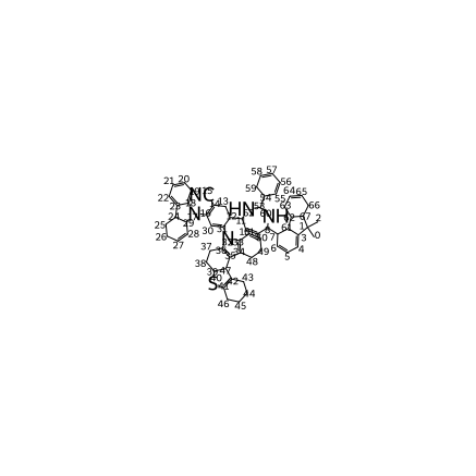 CC1(C)C2=CC=CC(C3C=CC(C4CC(C#N)=C(N5c6ccccc6C6CCC=CC65)C=C4n4c5c(c6c4CCC4SC7=C(CCCC7)C64)CCC=C5)NC(C4C=CC=CC4)N3)C2C2CC=CCC21